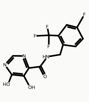 O=C(NCc1ccc(F)cc1C(F)(F)F)c1ncnc(O)c1O